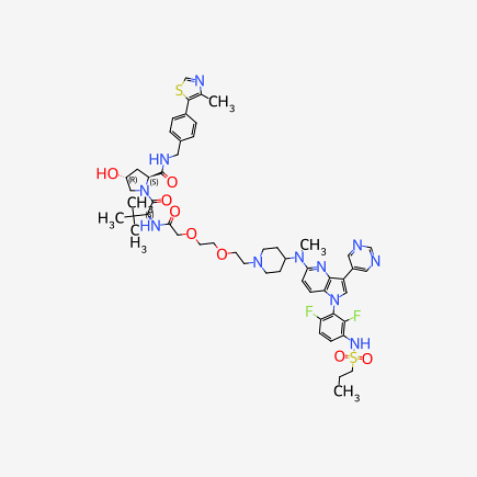 CCCS(=O)(=O)Nc1ccc(F)c(-n2cc(-c3cncnc3)c3nc(N(C)C4CCN(CCOCCOCC(=O)N[C@H](C(=O)N5C[C@H](O)C[C@H]5C(=O)NCc5ccc(-c6scnc6C)cc5)C(C)(C)C)CC4)ccc32)c1F